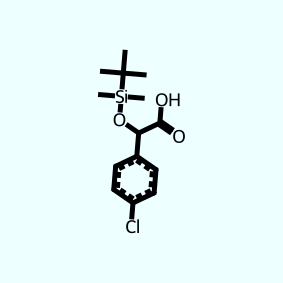 CC(C)(C)[Si](C)(C)OC(C(=O)O)c1ccc(Cl)cc1